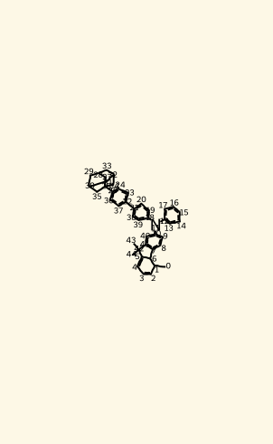 CC1C=CC=C2C1c1ccc(N(c3ccccc3)c3ccc(-c4ccc(C56CC7CC(CC(C7)C5)C6)cc4)cc3)cc1C2(C)C